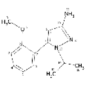 COc1ccccc1-c1cc(N)nn1C(C)C